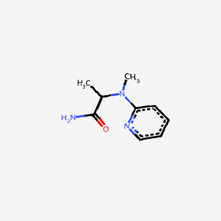 CC(C(N)=O)N(C)c1ccccn1